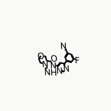 N#Cc1cc(F)cc(-c2cc(NC(=O)C3COCCN3C#N)ncn2)c1